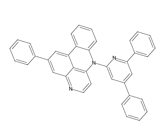 c1ccc(-c2cc(-c3ccccc3)nc(N3c4ccccc4-c4cc(-c5ccccc5)cc5nccc3c45)c2)cc1